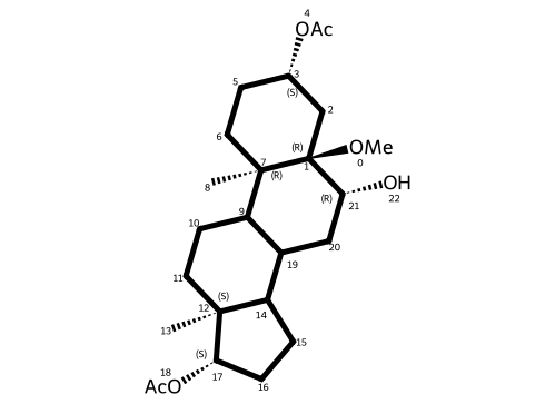 CO[C@]12C[C@@H](OC(C)=O)CC[C@]1(C)C1CC[C@@]3(C)C(CC[C@@H]3OC(C)=O)C1C[C@H]2O